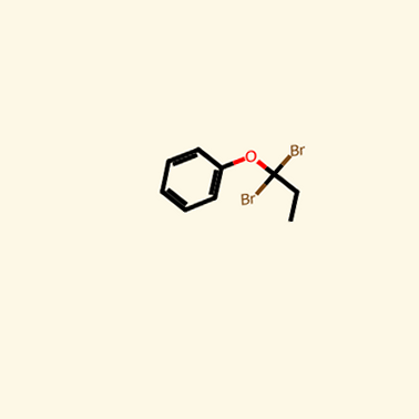 CCC(Br)(Br)Oc1ccccc1